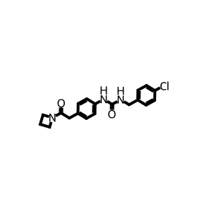 O=C(NCc1ccc(Cl)cc1)Nc1ccc(CC(=O)N2CCC2)cc1